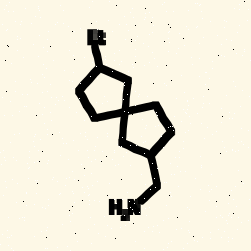 CCC1CCC2(CCC(CN)C2)C1